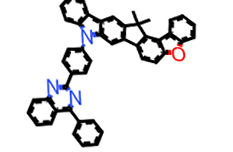 CC1(C)c2cc3c4ccccc4n(-c4ccc(-c5nc(-c6ccccc6)c6ccccc6n5)cc4)c3cc2-c2ccc3oc4ccccc4c3c21